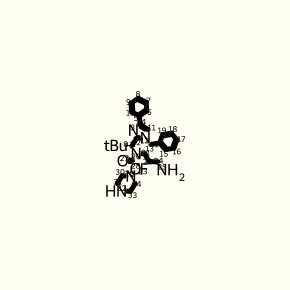 CC(C)(C)[C@H](c1nc(-c2ccccc2)cn1Cc1ccccc1)N(C[C@H](F)CN)C(=O)ON1CCNCC1